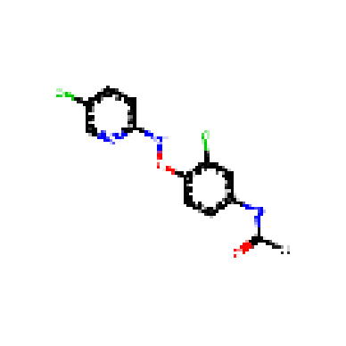 CCC(=O)Nc1ccc(ONc2ccc(Cl)cn2)c(Cl)c1